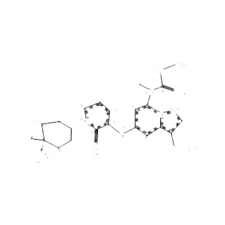 CCOC(=O)c1cnn2c(N(C)C(=O)OC(C)(C)C)cc(Nc3cccn([C@H]4CC[C@](C)(OC)CC4)c3=O)cc12